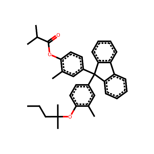 CCCC(C)(C)Oc1ccc(C2(c3ccc(OC(=O)C(C)C)c(C)c3)c3ccccc3-c3ccccc32)cc1C